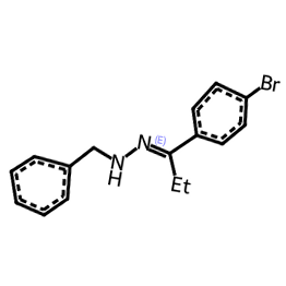 CC/C(=N\NCc1ccccc1)c1ccc(Br)cc1